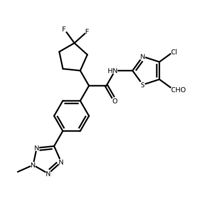 Cn1nnc(-c2ccc(C(C(=O)Nc3nc(Cl)c(C=O)s3)C3CCC(F)(F)C3)cc2)n1